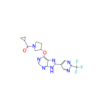 O=C(C1CC1)N1CCC(Oc2ncnc3[nH]c(-c4cnc(C(F)(F)F)nc4)nc23)C1